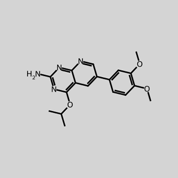 COc1ccc(-c2cnc3nc(N)nc(OC(C)C)c3c2)cc1OC